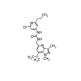 CCCc1cc(NC(=O)NCc2cc(C(C)C)c3c(n2)c(C)nn3C)cc(Cl)n1